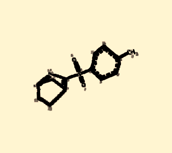 Cc1ccc(S(=O)(=O)C2=C3CCC(=N2)C3)cc1